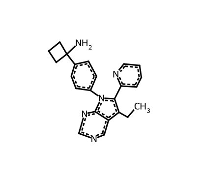 CCc1c(-c2ccccn2)n(-c2ccc(C3(N)CCC3)cc2)c2ncncc12